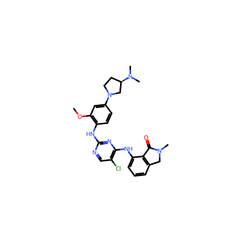 COc1cc(N2CC[C@@H](N(C)C)C2)ccc1Nc1ncc(Cl)c(Nc2cccc3c2C(=O)N(C)C3)n1